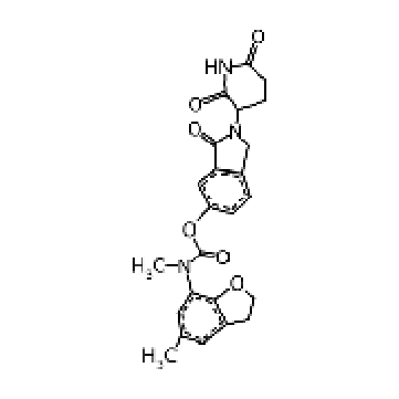 Cc1cc2c(c(N(C)C(=O)Oc3ccc4c(c3)C(=O)N(C3CCC(=O)NC3=O)C4)c1)OCC2